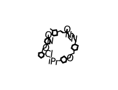 Cc1cc(C=CC(=O)N2CCN(Cc3ccc(CCOc4ccc(C(C)C)cc4)cc3)CC2)ccc1Oc1ccc(OCc2ccccc2Cl)cn1